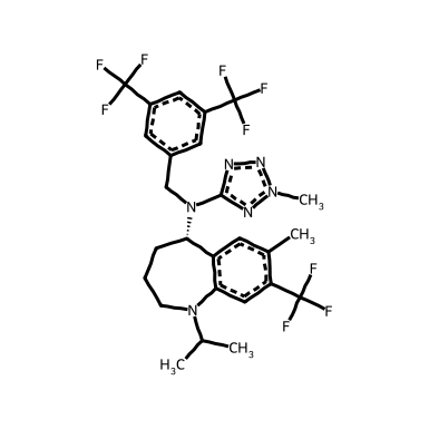 Cc1cc2c(cc1C(F)(F)F)N(C(C)C)CCC[C@@H]2N(Cc1cc(C(F)(F)F)cc(C(F)(F)F)c1)c1nnn(C)n1